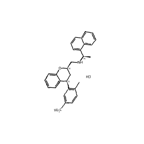 Cc1ccc(C(=O)O)cc1[C@@H]1C[C@H](CN[C@H](C)c2cccc3ccccc23)Oc2ccccc21.Cl